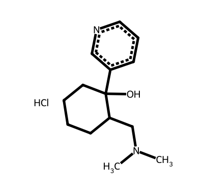 CN(C)CC1CCCCC1(O)c1cccnc1.Cl